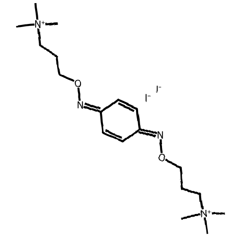 C[N+](C)(C)CCCON=C1C=CC(=NOCCC[N+](C)(C)C)C=C1.[I-].[I-]